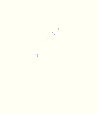 CN(C)Cc1c(C(=O)O)[nH]c2cc(Cl)ccc12